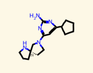 Nc1nc(C2CCCC2)cc(N2CC[C@@]3(CCCN3)C2)n1